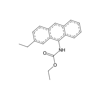 CCOC(=O)Nc1c2ccccc2cc2ccc(CC)cc12